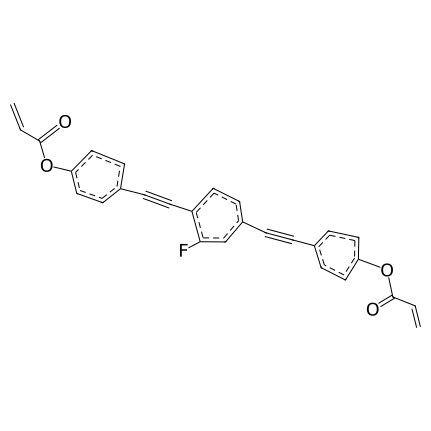 C=CC(=O)Oc1ccc(C#Cc2ccc(C#Cc3ccc(OC(=O)C=C)cc3)c(F)c2)cc1